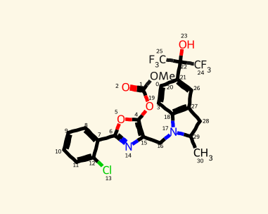 COC(=O)Oc1oc(-c2ccccc2Cl)nc1CN1c2ccc(C(O)(C(F)(F)F)C(F)(F)F)cc2CC1C